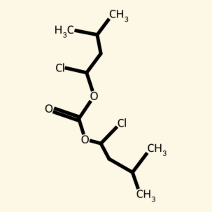 CC(C)CC(Cl)OC(=O)OC(Cl)CC(C)C